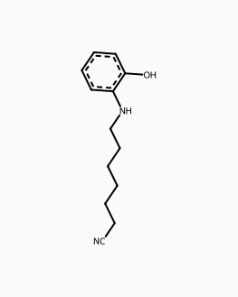 N#CCCCCCCNc1ccccc1O